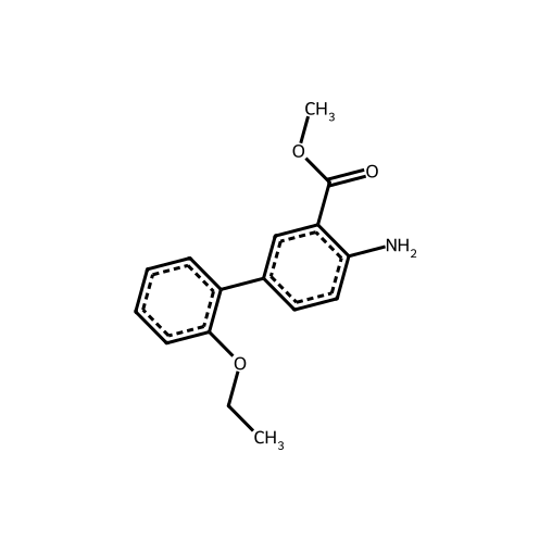 CCOc1ccccc1-c1ccc(N)c(C(=O)OC)c1